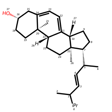 CC(C)C(C)C=CC(C)[C@H]1CC[C@H]2C3=CC=C4C[C@@H](O)CC[C@]4(C)[C@H]3CC[C@]12C